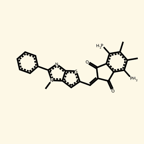 Cc1c(C)c(P)c2c(c1P)C(=O)C(=Cc1cc3c(nc(-c4ccccc4)n3C)s1)C2=O